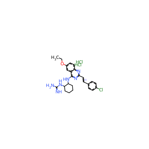 CCOc1ccc2nc(/C=C/c3ccc(Cl)cc3)nc(NC3CCCCC3NC(=N)N)c2c1.Cl.Cl